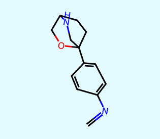 C=Nc1ccc(C23CCC(CO2)NC3)cc1